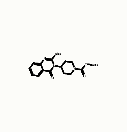 CCCCOC(=O)N1CCC(n2c(CCCC)nc3ccccc3c2=O)CC1